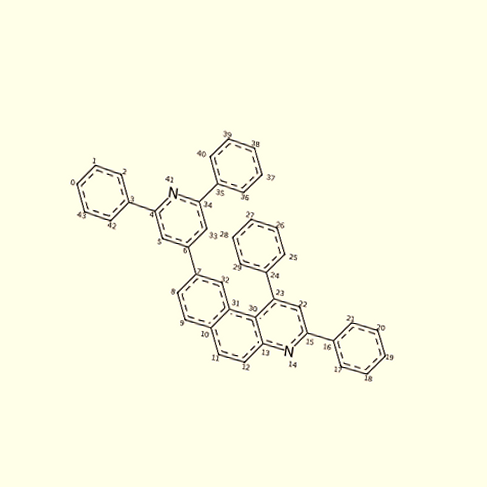 c1ccc(-c2cc(-c3ccc4ccc5nc(-c6ccccc6)cc(-c6ccccc6)c5c4c3)cc(-c3ccccc3)n2)cc1